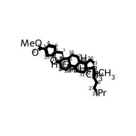 COC(=O)c1ccc(C[C@@H]2C(=O)CC[C@@]3(C)C2CC[C@H]2[C@@H]4CC[C@H]([C@H](C)CCCC(C)C)[C@@]4(C)CC[C@@H]23)cc1